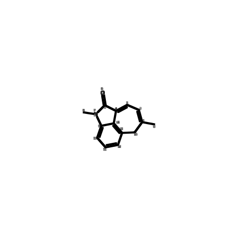 CC1=CC=C2C(=O)N(C)c3cccc(c32)C1